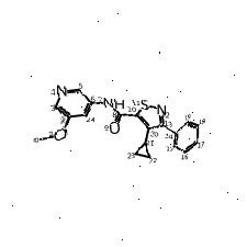 COc1cncc(NC(=O)c2snc(-c3ccccc3)c2C2CC2)c1